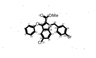 COC(=O)c1c(Oc2ccccc2)c2cc(Cl)ccc2n1Cc1ccc(Br)cc1